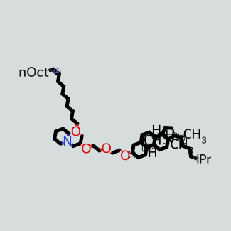 CCCCCCCC/C=C\CCCCCCCCOCC(CN1CCCCC1)OCCOCCO[C@H]1CC[C@@]2(C)C(=CC[C@H]3[C@@H]4CC[C@H]([C@H](C)CCCC(C)C)[C@@]4(C)CC[C@@H]32)C1